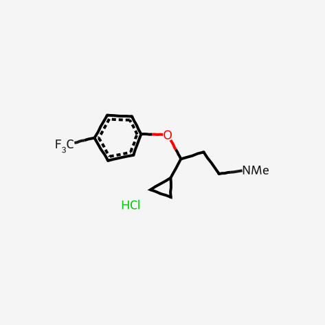 CNCCC(Oc1ccc(C(F)(F)F)cc1)C1CC1.Cl